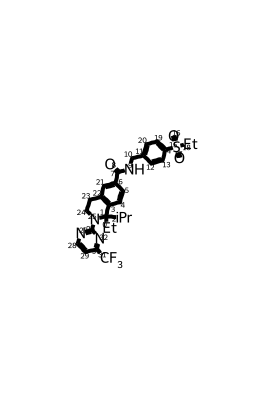 [CH2]CC1(C(C)C)c2ccc(C(=O)NCc3ccc(S(=O)(=O)CC)cc3)cc2CCN1c1nccc(C(F)(F)F)n1